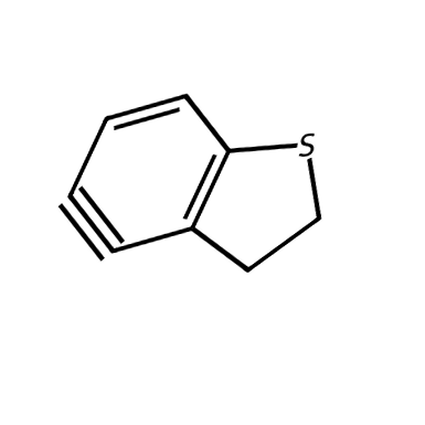 c1ccc2c(c#1)CCS2